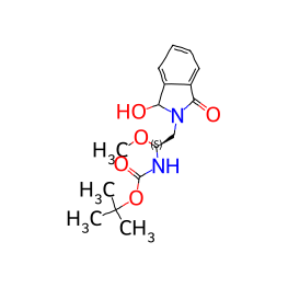 CO[C@@H](CN1C(=O)c2ccccc2C1O)NC(=O)OC(C)(C)C